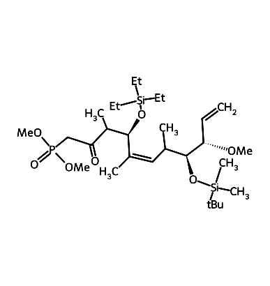 C=C[C@H](OC)[C@@H](O[Si](C)(C)C(C)(C)C)C(C)/C=C(/C)[C@H](O[Si](CC)(CC)CC)C(C)C(=O)CP(=O)(OC)OC